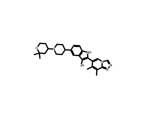 Cc1c(-c2[nH]c3ccc(C4CCN(C5CCOC(C)(C)C5)CC4)cc3c2C(C)C)cn2cnnc2c1C